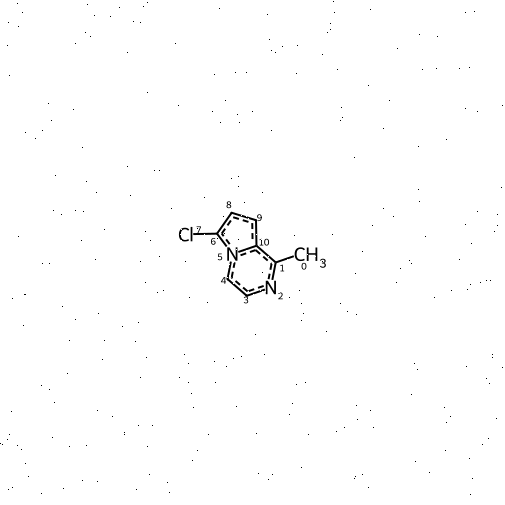 Cc1nccn2c(Cl)ccc12